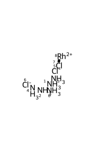 N.N.N.N.N.[Cl-].[Cl-].[Cl][Rh+2]